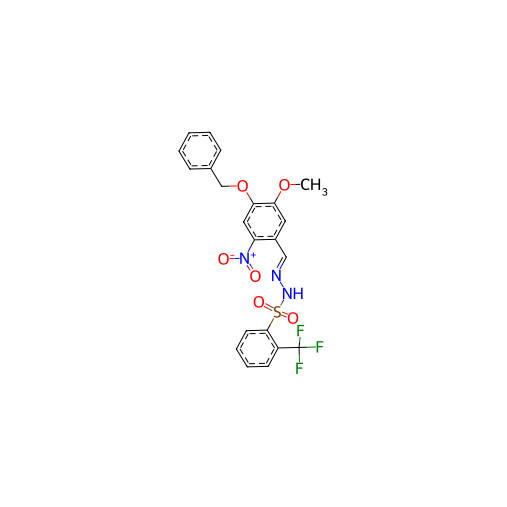 COc1cc(C=NNS(=O)(=O)c2ccccc2C(F)(F)F)c([N+](=O)[O-])cc1OCc1ccccc1